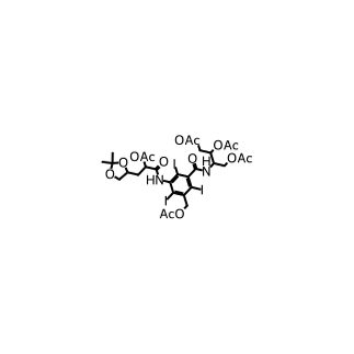 CC(=O)OCc1c(I)c(NC(=O)C(CC2COC(C)(C)O2)OC(C)=O)c(I)c(C(=O)NC(COC(C)=O)C(COC(C)=O)OC(C)=O)c1I